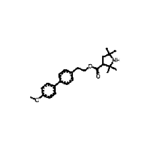 COc1ccc(-c2ccc(CCOC(=O)C3CC(C)(C)NC3(C)C)cc2)cc1